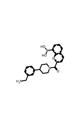 NCc1cccc(C2CCN(C(=O)c3ccc4cccc(B(O)O)c4n3)CC2)c1